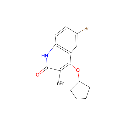 CCCc1c(OC2CCCC2)c2cc(Br)ccc2[nH]c1=O